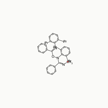 CN=C(c1ccccc1)N(OC(=Nc1c(C(C)C)cccc1C(C)C)c1ccccc1)c1c(C(C)C)cccc1C(C)C